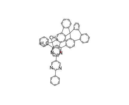 CC1(C)c2ccccc2-c2cc3c(cc21)-c1ccccc1C31c2ccccc2-c2ccccc2-c2ccc(-c3cc(-c4ccccc4)nc(-c4cnc(-c5ccccc5)nc4)n3)cc21